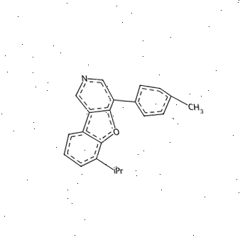 Cc1ccc(-c2cncc3c2oc2c(C(C)C)cccc23)cc1